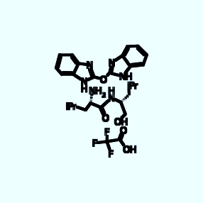 CC(C)C[C@H](CO)NC(=O)[C@@H](N)CC(C)C.O=C(O)C(F)(F)F.c1ccc2[nH]c(Oc3nc4ccccc4[nH]3)nc2c1